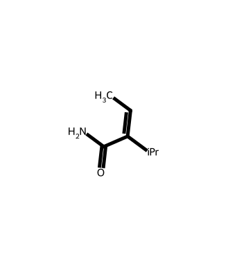 CC=C(C(N)=O)C(C)C